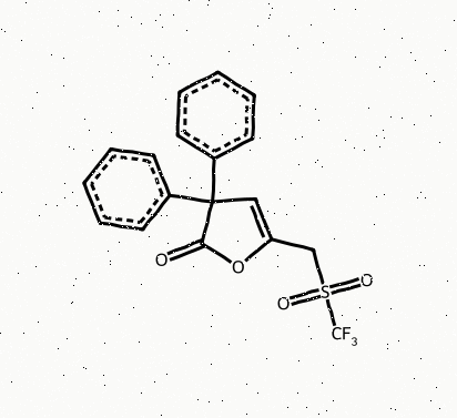 O=C1OC(CS(=O)(=O)C(F)(F)F)=CC1(c1ccccc1)c1ccccc1